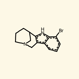 Brc1cccc2c3c([nH]c12)C1CCCN(C3)C1